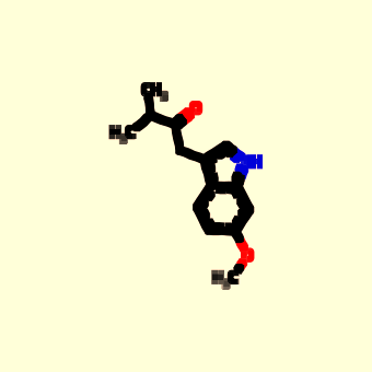 COc1ccc2c(CC(=O)C(C)C)c[nH]c2c1